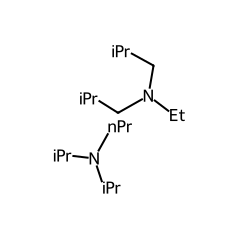 CCCN(C(C)C)C(C)C.CCN(CC(C)C)CC(C)C